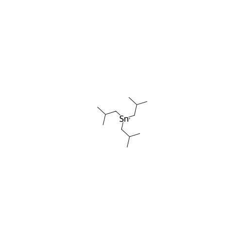 CC(C)[CH2][Sn]([CH2]C(C)C)[CH2]C(C)C